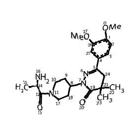 COc1ccc(C2=NN(C3CCN(C(=O)[C@@H](C)N)CC3)C(=O)C(C)(C)C2)cc1OC